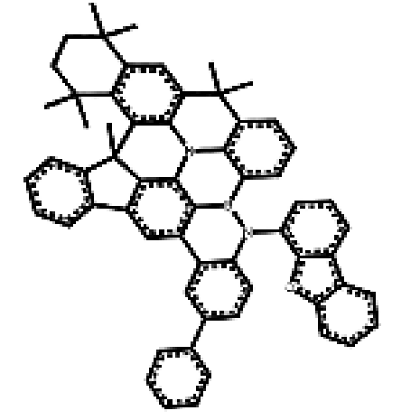 CC1(C)CCC(C)(C)c2c1cc1c3c2C2(C)c4ccccc4-c4cc5c6c(c42)N3c2c(cccc2C1(C)C)B6N(c1cccc2c1oc1ccccc12)c1ccc(-c2ccccc2)cc1-5